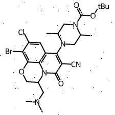 CC1CN(c2c(C#N)c(=O)n3c4c(c(Br)c(Cl)cc24)OCC3CN(C)C)C(C)CN1C(=O)OC(C)(C)C